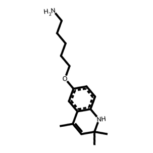 CC1=CC(C)(C)Nc2ccc(OCCCCCN)cc21